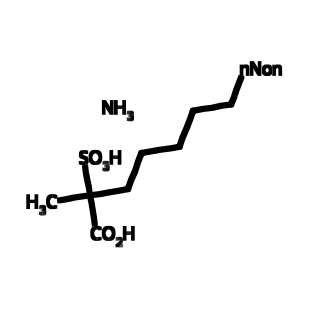 CCCCCCCCCCCCCCC(C)(C(=O)O)S(=O)(=O)O.N